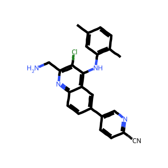 Cc1ccc(C)c(Nc2c(Cl)c(CN)nc3ccc(-c4ccc(C#N)nc4)cc23)c1